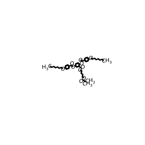 C=C(C)C(=O)OCCCCOC(=O)c1cc(OC(=O)c2ccc(OCCCCCCC)cc2)ccc1OC(=O)c1ccc(OCCCCCCC)cc1